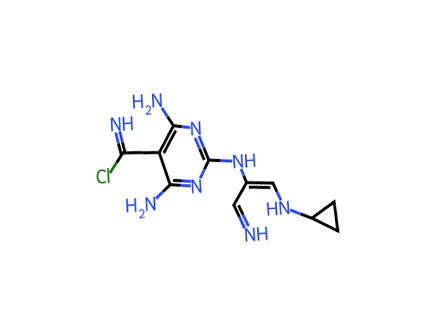 N=C/C(=C\NC1CC1)Nc1nc(N)c(C(=N)Cl)c(N)n1